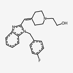 OCCN1CCC(=Cc2nc3ccccc3n2Cc2ccc(F)cc2)CC1